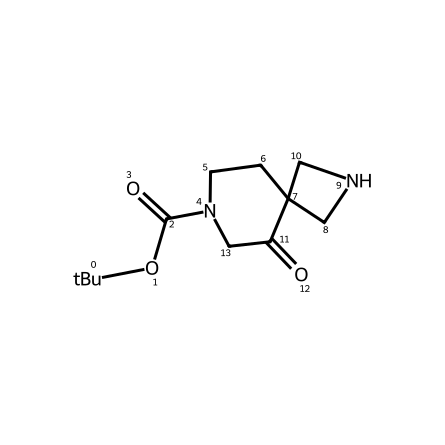 CC(C)(C)OC(=O)N1CCC2(CNC2)C(=O)C1